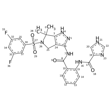 CC1(C)c2[nH]nc(NC(=O)c3ccccc3NC(=O)c3c[nH]cn3)c2CN1S(=O)(=O)c1cc(F)cc(F)c1